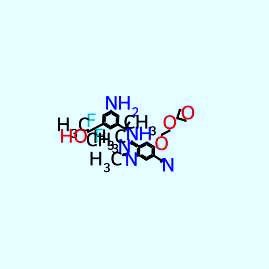 Cc1nc(NC(C)(C)c2cc(N)cc(C(F)(F)C(C)(C)O)c2)c2cc(OCCOC3COC3)c(C#N)cc2n1